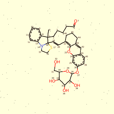 CC1(CCCCC=O)c2ccccc2N2CCSC21/C=C/C1=C2Oc3cc(OC4OC(CO)C(O)C(O)C4O)ccc3C=C2CCC1